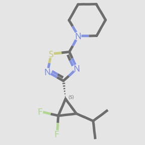 CC(C)C1[C@@H](c2nsc(N3CCCCC3)n2)C1(F)F